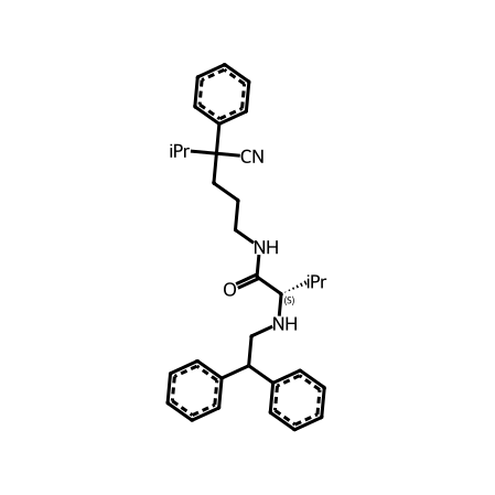 CC(C)[C@H](NCC(c1ccccc1)c1ccccc1)C(=O)NCCCC(C#N)(c1ccccc1)C(C)C